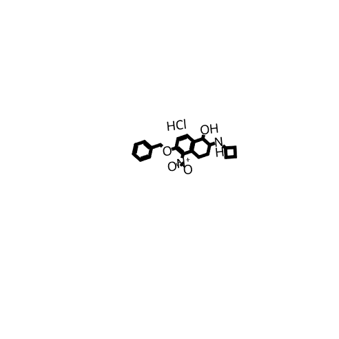 Cl.O=[N+]([O-])c1c(OCc2ccccc2)ccc2c1CCC(NC1CCC1)C2O